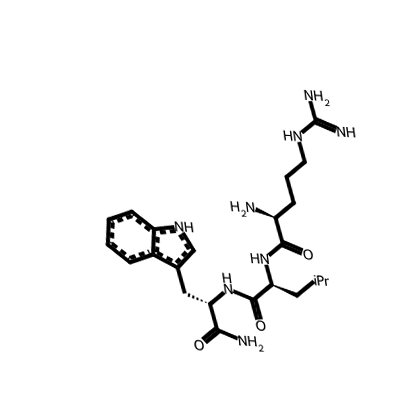 CC(C)C[C@H](NC(=O)[C@@H](N)CCCNC(=N)N)C(=O)N[C@@H](Cc1c[nH]c2ccccc12)C(N)=O